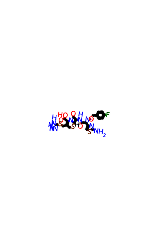 Nc1nc(C(=NOCc2ccc(F)cc2)C(=O)NC2C(=O)N3C(C(=O)O)=C(CSc4nnn[nH]4)CS[C@@H]23)cs1